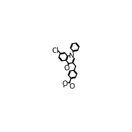 COC(=O)c1ccc(Cc2cn(-c3ccccc3)c3cc(Cl)ccc3c2=O)cc1